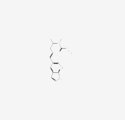 CC(C/C=C/c1cnc2[nH]ccc2c1)N(C)C(=O)OC(C)(C)C